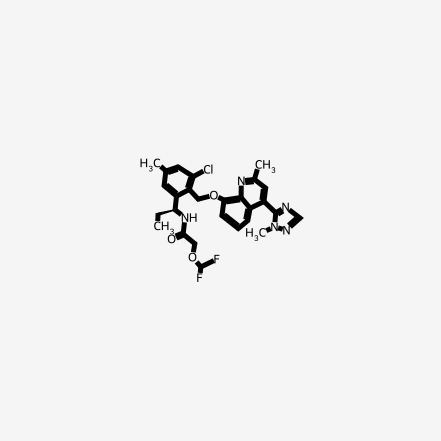 CC[C@H](NC(=O)COC(F)F)c1cc(C)cc(Cl)c1COc1cccc2c(-c3ncnn3C)cc(C)nc12